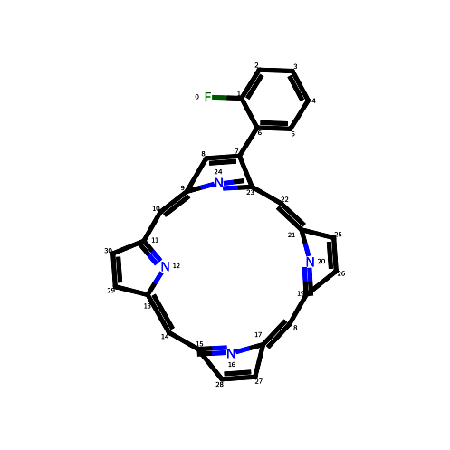 Fc1ccccc1C1=CC2=CC3=NC(=CC4=NC(=CC5=NC(=CC1=N2)C=C5)C=C4)C=C3